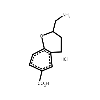 Cl.NCC1CCc2cc(C(=O)O)ccc2O1